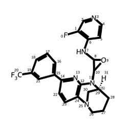 Fc1cnccc1NC1OC1N1c2nc(-c3cccc(C(F)(F)F)c3)ccc2N2CCC[C@H]1C2